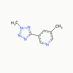 Cc1cncc(-c2nnn(C)n2)c1